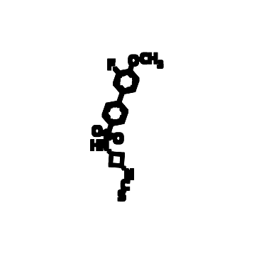 COc1ccc(-c2ccc(S(=O)(=O)N[C@H]3C[C@@H](N=C=S)C3)cc2)cc1F